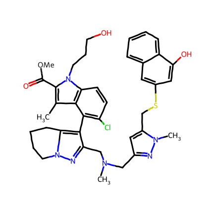 COC(=O)c1c(C)c2c(-c3c(CN(C)Cc4cc(CSc5cc(O)c6ccccc6c5)n(C)n4)nn4c3CCCC4)c(Cl)ccc2n1CCCO